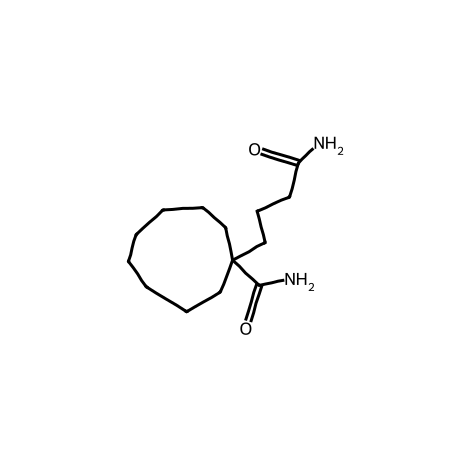 NC(=O)CCCC1(C(N)=O)CCCCCCCC1